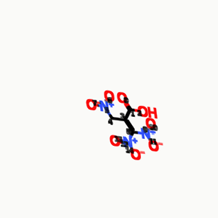 O=C(O)C(C[N+](=O)[O-])=C([N+](=O)[O-])[N+](=O)[O-]